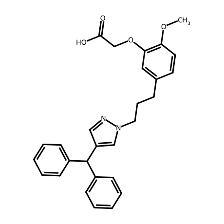 COc1ccc(CCCn2cc(C(c3ccccc3)c3ccccc3)cn2)cc1OCC(=O)O